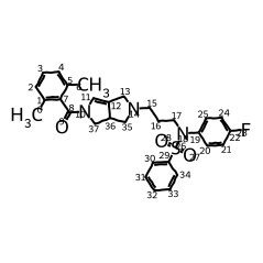 Cc1cccc(C)c1C(=O)N1C=C2CN(CCCN(c3ccc(F)cc3)S(=O)(=O)c3ccccc3)CC2C1